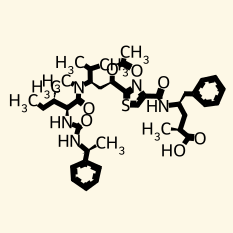 CC[C@H](C)[C@H](NC(=O)N[C@@H](C)c1ccccc1)C(=O)N(C)[C@H](C[C@@H](OC(C)=O)c1nc(C(=O)N[C@@H](Cc2ccccc2)C[C@H](C)C(=O)O)cs1)C(C)C